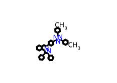 Cc1ccc(-c2nc(-c3ccc(C)cc3)nc(-c3ccc(-c4cc5ccccc5c5c(-c6ccccc6)c(-c6ccccc6)nn45)cc3)n2)cc1